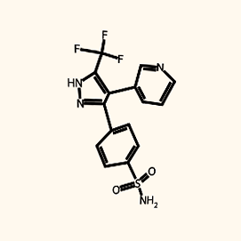 NS(=O)(=O)c1ccc(-c2n[nH]c(C(F)(F)F)c2-c2cccnc2)cc1